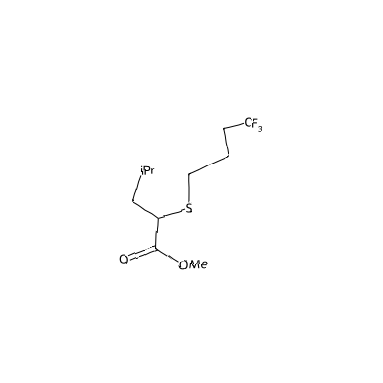 COC(=O)C(CC(C)C)SCCCC(F)(F)F